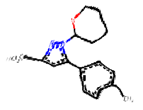 Cc1ccc(-c2cc(C(=O)O)nn2C2CCCCO2)cc1